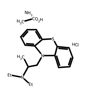 CC(=O)O.CCN(CC)C(C)CN1c2ccccc2Sc2ccccc21.Cl.N